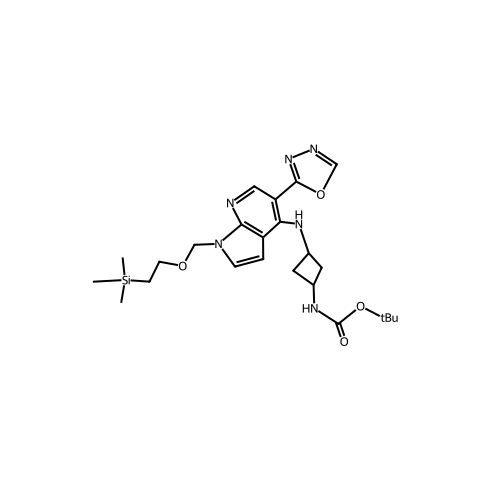 CC(C)(C)OC(=O)NC1CC(Nc2c(-c3nnco3)cnc3c2ccn3COCC[Si](C)(C)C)C1